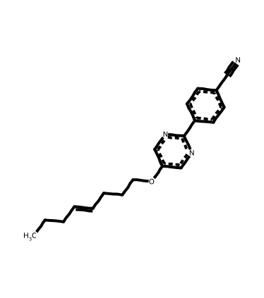 CCCC=CCCCOc1cnc(-c2ccc(C#N)cc2)nc1